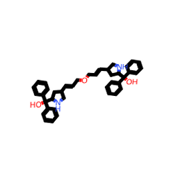 OC(c1ccccc1)(c1ccccc1)C1CC(C=CCOCC=CC2CNC(C(O)(c3ccccc3)c3ccccc3)C2)CN1